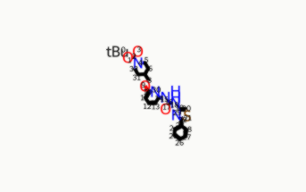 CC(C)(C)OC(=O)N1CCC(COc2cccc(NC(=O)Nc3csc(-c4ccccc4)n3)n2)CC1